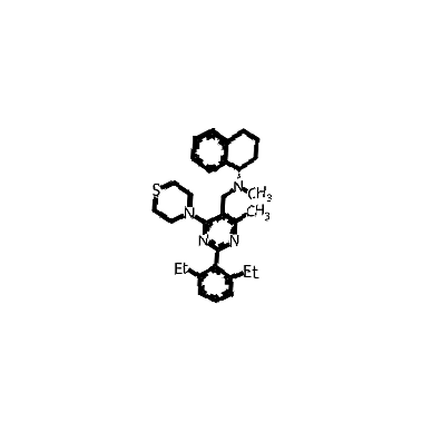 CCc1cccc(CC)c1-c1nc(C)c(CN(C)[C@H]2CCCc3ccccc32)c(N2CCSCC2)n1